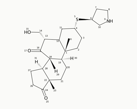 C[C@]12CC[C@@H](S[C@H]3CCNC3)CC1[C@@H](CO)C(=O)[C@@H]1[C@@H]2CC[C@]2(C)C(=O)CC[C@@H]12